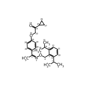 CC(=NOCc1c(C(C)C)cccc1C(C)C)c1ccc(OCC(=O)C2CC2)cc1